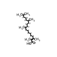 CC(CCCCCCC(C)CCCC(C)CCCC(C)C)=C(C)C(=O)O